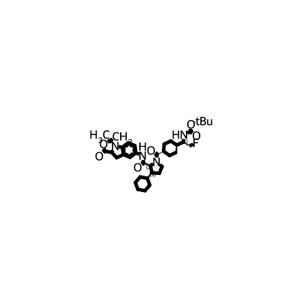 CC(C)(C)OC(=O)N[C@H](CF)[C@H]1CC[C@H](C(=O)N2CC[C@@H](C3CCCCC3)[C@H]2C(=O)Nc2ccc3c(c2)CC2C(=O)OC(C)(C)N32)CC1